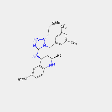 CC[C@@H]1C[C@H](NC2=NNN(CCSC)N2Cc2cc(C(F)(F)F)cc(C(F)(F)F)c2)c2cc(OC)ccc2N1